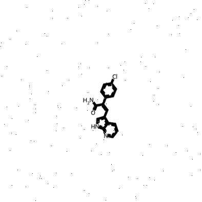 NC(=O)C(=Cc1c[nH]c2ncccc12)c1ccc(Cl)cc1